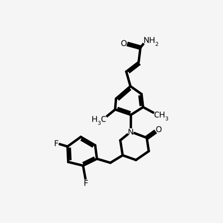 Cc1cc(C=CC(N)=O)cc(C)c1N1CC(Cc2ccc(F)cc2F)CCC1=O